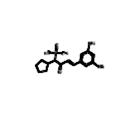 CC(C)(C)c1cc(/C=C/C(=O)C(C2CCCC2)P(=O)(O)O)cc(C(C)(C)C)c1